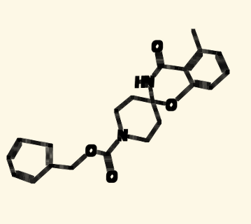 Cc1cccc2c1C(=O)NC1(CCN(C(=O)OCc3ccccc3)CC1)O2